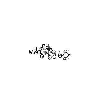 COC(=O)[C@@H]1N2C(=O)[C@@H](OC(=O)COc3ccccc3)[C@H]2SC1(C)C